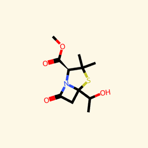 COC(=O)[C@@H]1N2C(=O)CC2(C(C)O)SC1(C)C